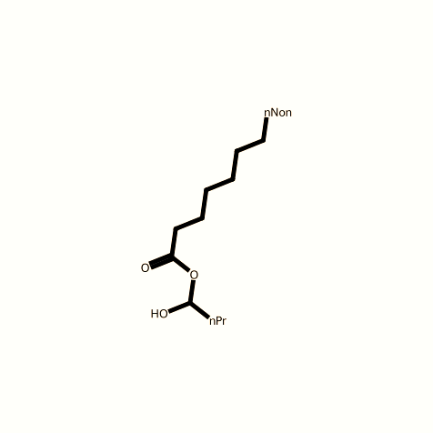 CCCCCCCCCCCCCCCC(=O)OC(O)CCC